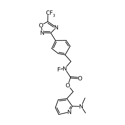 CN(C)c1ncccc1COC(=O)N(F)Cc1ccc(-c2noc(C(F)(F)F)n2)cc1